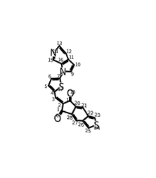 O=C1C(=Cc2ccc(-n3ccc4ccncc43)s2)C(=O)c2cc3cscc3cc21